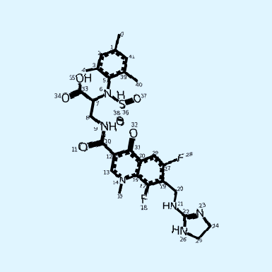 Cc1cc(C)c(N(C(CNC(=O)c2cn(C)c3c(F)c(CNC4=NCCN4)c(F)cc3c2=O)C(=O)O)[SH](=O)=O)c(C)c1